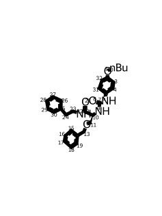 CCCCOc1ccc(NC(=O)N[C@@H](COCc2ccccc2)C(=O)NCCc2ccccc2)cc1